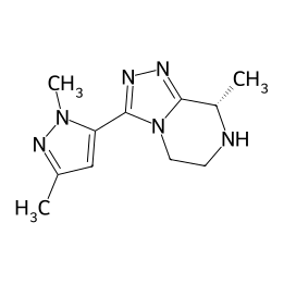 Cc1cc(-c2nnc3n2CCN[C@H]3C)n(C)n1